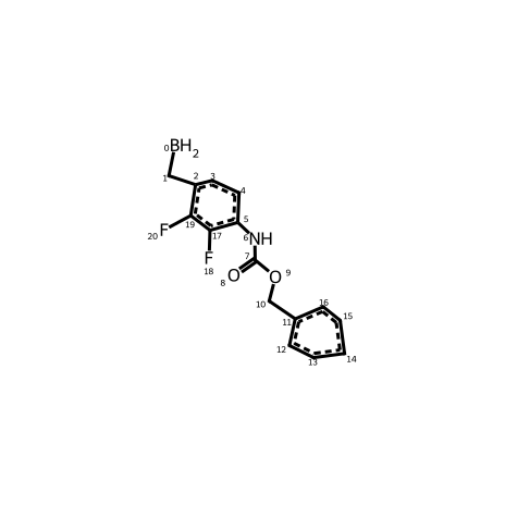 BCc1ccc(NC(=O)OCc2ccccc2)c(F)c1F